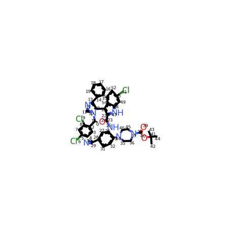 C[C@@H](c1ccc(Cl)cc1Cl)n1cnc(-c2ccccc2)c1-c1c(C(=O)Nc2cc(C#N)ccc2N2CCN(C(=O)OC(C)(C)C)CC2)[nH]c2cc(Cl)ccc12